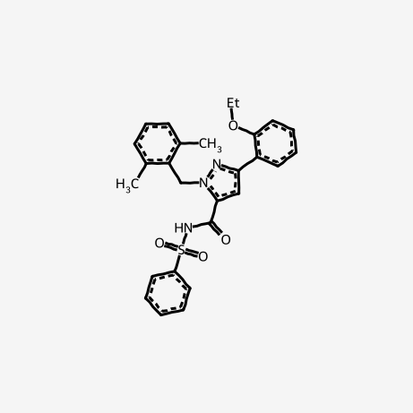 CCOc1ccccc1-c1cc(C(=O)NS(=O)(=O)c2ccccc2)n(Cc2c(C)cccc2C)n1